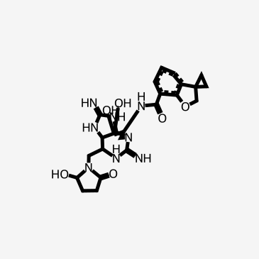 N=C1NC2C(CN3C(=O)CCC3O)NC(=N)N3CC(NC(=O)c4cccc5c4OCC54CC4)C(O)(O)C23N1